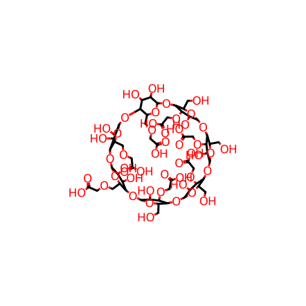 O=C(O)COCC1OC2OC3C(COCC(=O)O)OC(OC4C(CO)OC(OC5C(CO)OC(OC6C(CO)OC(OC7C(CO)OC(OC8C(COCC(=O)O)OC(OC1C(O)C2O)C(O)C8O)C(O)C7OCC(=O)O)C(O)C6OCC(=O)O)C(O)C5OCC(=O)O)C(O)C4OCC(=O)O)C(O)C3O